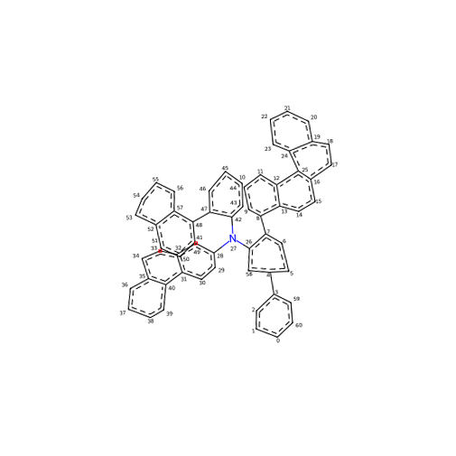 c1ccc(-c2ccc(-c3cccc4c3ccc3ccc5ccccc5c34)c(N(c3ccc4c(ccc5ccccc54)c3)c3ccccc3-c3cccc4ccccc34)c2)cc1